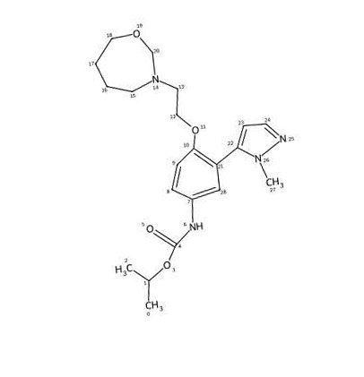 CC(C)OC(=O)Nc1ccc(OCCN2CCCCOC2)c(-c2ccnn2C)c1